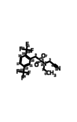 CCN(CC#N)S(=O)(=O)Cc1cc(C(F)(F)F)ccc1C(F)(F)F